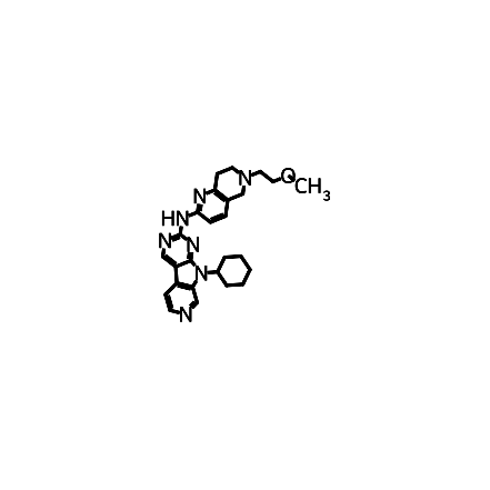 COCCN1CCc2nc(Nc3ncc4c5ccncc5n(C5CCCCC5)c4n3)ccc2C1